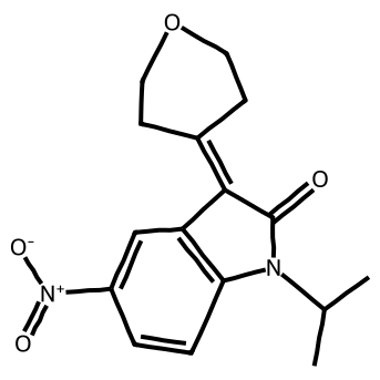 CC(C)N1C(=O)C(=C2CCOCC2)c2cc([N+](=O)[O-])ccc21